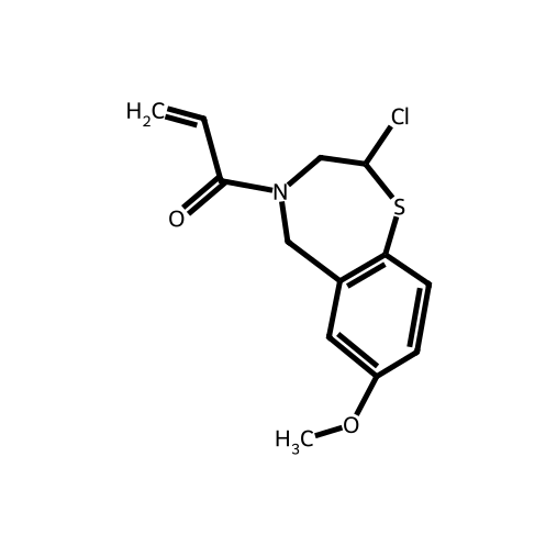 C=CC(=O)N1Cc2cc(OC)ccc2SC(Cl)C1